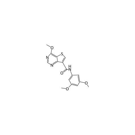 COc1cc(NC(=O)c2csc3c(OC)ncnc23)cc(OC)c1